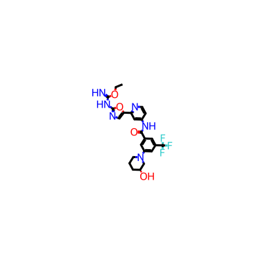 CCOC(=N)Nc1ncc(-c2cc(NC(=O)c3cc(N4CCC[C@H](O)C4)cc(C(F)(F)F)c3)ccn2)o1